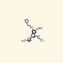 COc1cc2c(NCCC(F)(F)F)cc(-c3ccc(C)o3)nc2cc1OCCCN1CCCC1